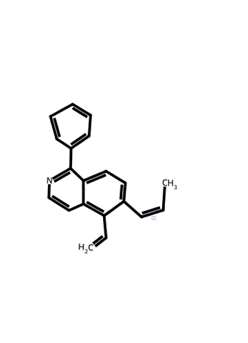 C=Cc1c(/C=C\C)ccc2c(-c3ccccc3)nccc12